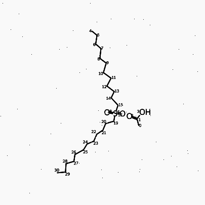 CC(=O)O.CCCCCCCCCCCCS(=O)(=O)CCCCCCCCCCCC